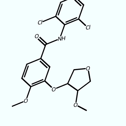 COc1ccc(C(=O)Nc2c(Cl)cncc2Cl)cc1OC1COCC1OC